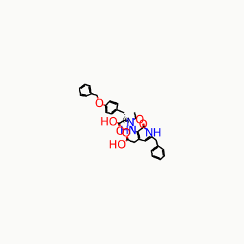 CC(=O)N(Nc1c(CC(=O)O)cc(Cc2ccccc2)[nH]c1=O)[C@@H](Cc1ccc(OCc2ccccc2)cc1)C(=O)O